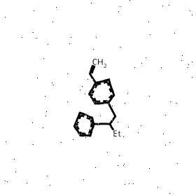 C=Cc1ccc(CC(CC)c2ccccc2)cc1